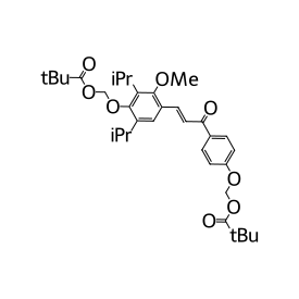 COc1c(/C=C/C(=O)c2ccc(OCOC(=O)C(C)(C)C)cc2)cc(C(C)C)c(OCOC(=O)C(C)(C)C)c1C(C)C